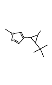 CC1C(c2cnn(C)c2)C1C(C)(C)C